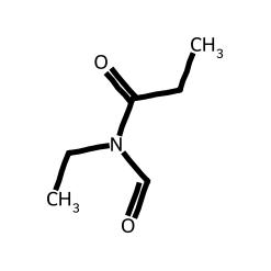 CCC(=O)N(C=O)CC